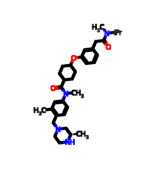 Cc1cc(N(C)C(=O)C2CCC(Oc3cccc(CC(=O)N(C)C(C)C)c3)CC2)ccc1CN1CCN[C@@H](C)C1